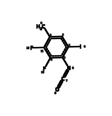 Cc1cc(I)c(N=C=O)c(F)c1F